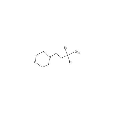 CCC(C)(CC)CCN1CCOCC1